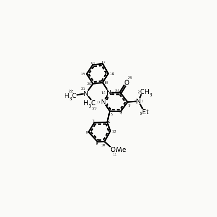 CCN(C)c1cc(-c2cccc(OC)c2)nn(-c2ccccc2N(C)C)c1=O